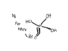 O=P(O)(O)O.[Fe].[LiH].[Mn].[Ni]